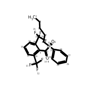 CCCCCP(=O)(C(=O)c1c(C(F)(F)F)cccc1C(F)(F)F)c1ccccc1